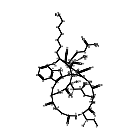 CC[C@H](C)[C@@H]1NC(=O)CNC(=O)C2Cc3c4[nH]c5cc(ccc35)OC(CCCCCCN)(C(=O)[C@H](CCC(N)=O)NC(=O)C(CS4)NC(=O)CNC1=O)N1C[C@H](O)C[C@]1(C=O)N[C@@H]([C@@H](C)[C@@H](O)CO)C(=O)N2